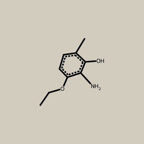 CCOc1ccc(C)c(O)c1N